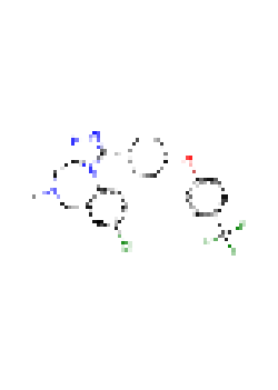 CN1Cc2cc(Cl)ccc2-n2c(nnc2[C@H]2CC[C@H](Oc3ccc(C(F)(F)F)cc3)CC2)C1